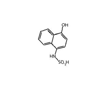 O=S(=O)(O)Nc1ccc(O)c2ccccc12